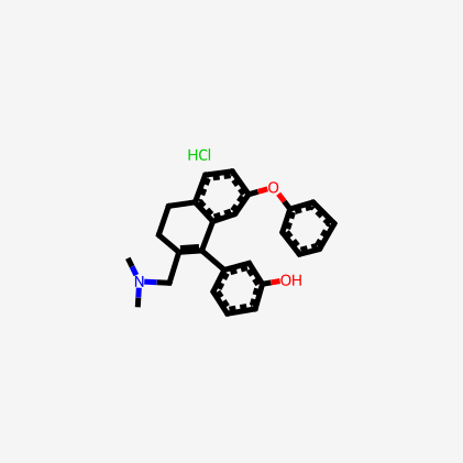 CN(C)CC1=C(c2cccc(O)c2)c2cc(Oc3ccccc3)ccc2CC1.Cl